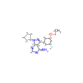 CCOc1cc(F)cc(-c2nn(C3CCCC3)c3ncnc(N)c23)c1